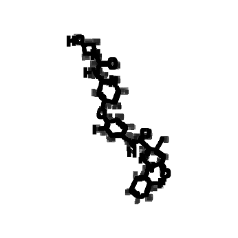 Cc1cc(=O)n(-c2ccccc2F)nc1C(=O)Nc1ccc(Oc2ccnc(NC(=O)N3CC(O)C3)c2)c(F)c1